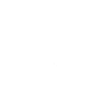 C=Cc1ccc(OC(CC)OCC)c(OC(CC)OCC)c1